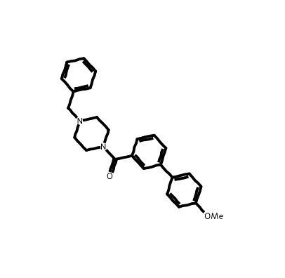 COc1ccc(-c2cccc(C(=O)N3CCN(Cc4ccccc4)CC3)c2)cc1